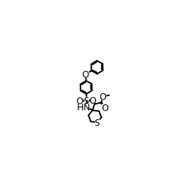 COC(=O)CC1(NS(=O)(=O)c2ccc(Oc3ccccc3)cc2)CCSCC1